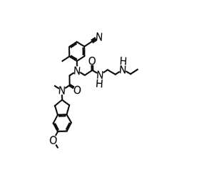 CCNCCNC(=O)CN(CC(=O)N(C)C1Cc2ccc(OC)cc2C1)c1cc(C#N)ccc1C